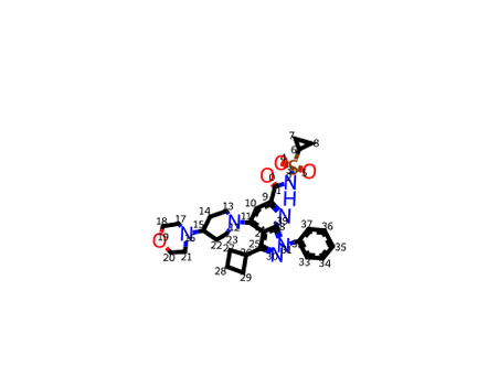 O=C(NS(=O)(=O)C1CC1)c1cc(N2CCC(N3CCOCC3)CC2)c2c(C3CCC3)nn(-c3ccccc3)c2n1